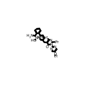 CCCCCc1nc(C(C)C)n(-c2ncc(OCC)cn2)c(=O)c1Cc1ccc(-c2ccccc2C(N)=NO)nc1